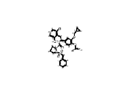 O=C(O[C@@H](Cc1c(Cl)cncc1Cl)c1ccc(OC(F)F)c(OCC2CC2)c1)[C@@H]1CCCN1S(=O)(=O)Cc1ccccc1